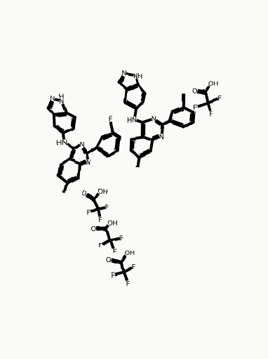 Cc1ccc2c(Nc3ccc4[nH]ncc4c3)nc(-c3cccc(F)c3)nc2c1.Cc1cccc(-c2nc(Nc3ccc4[nH]ncc4c3)c3ccc(C)cc3n2)c1.O=C(O)C(F)(F)F.O=C(O)C(F)(F)F.O=C(O)C(F)(F)F.O=C(O)C(F)(F)F